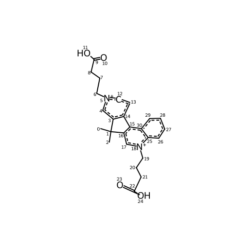 CC1(C)c2c[n+](CCCC(=O)O)ccc2-c2c1c[n+](CCCC(=O)O)c1ccccc21